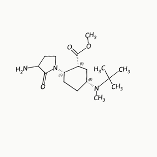 COC(=O)[C@@H]1C[C@H](N(C)C(C)(C)C)CC[C@@H]1N1CCC(N)C1=O